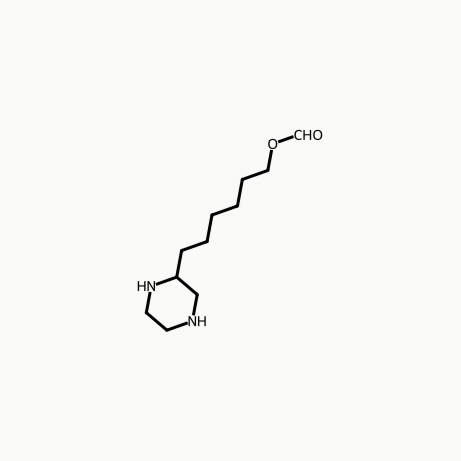 O=COCCCCCCC1CNCCN1